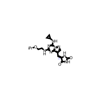 CC(C)OCCNc1nc(NC2CC2)n2ncc(/C=C3\NC(=O)NC3=O)c2n1